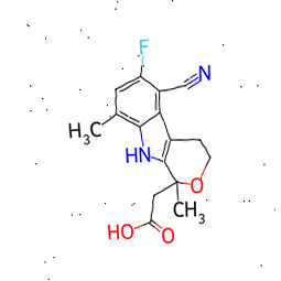 Cc1cc(F)c(C#N)c2c3c([nH]c12)C(C)(CC(=O)O)OCC3